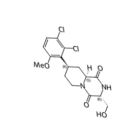 COc1ccc(Cl)c(Cl)c1[C@@H]1CCN2C(=O)[C@@H](CO)NC(=O)[C@@H]2C1